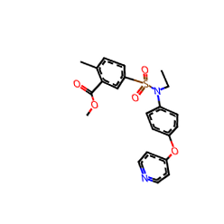 CCN(c1ccc(Oc2ccncc2)cc1)S(=O)(=O)c1ccc(C)c(C(=O)OC)c1